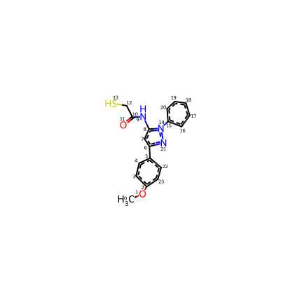 COc1ccc(-c2cc(NC(=O)CS)n(-c3ccccc3)n2)cc1